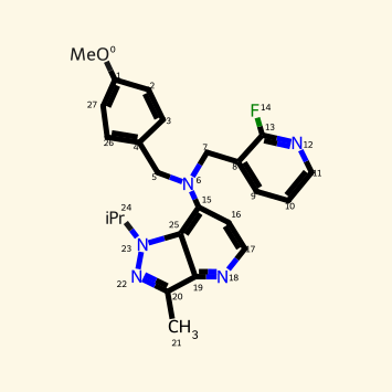 COc1ccc(CN(Cc2cccnc2F)c2ccnc3c(C)nn(C(C)C)c23)cc1